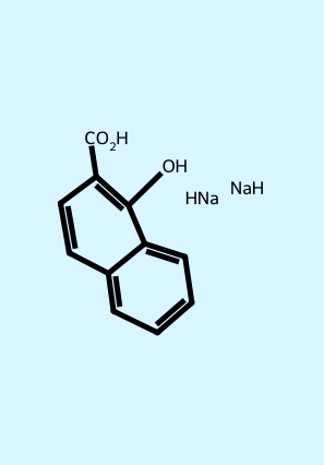 O=C(O)c1ccc2ccccc2c1O.[NaH].[NaH]